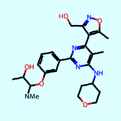 CNC(Oc1cccc(-c2nc(NC3CCOCC3)c(C)c(-c3c(CO)noc3C)n2)c1)C(C)O